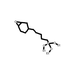 CCO[Si](CCCCCC1CCC2OC2C1)(OCC)OCC